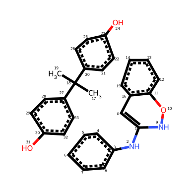 C1=C(Nc2ccccc2)NOc2ccccc21.CC(C)(c1ccc(O)cc1)c1ccc(O)cc1